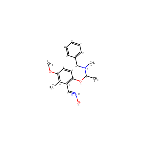 COc1ccc(OC(C)N(C)Cc2ccccc2)c(/C=N/O)c1C